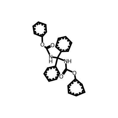 O=C(NC(NC(=O)Oc1ccccc1)(c1ccccc1)c1ccccc1)Oc1ccccc1